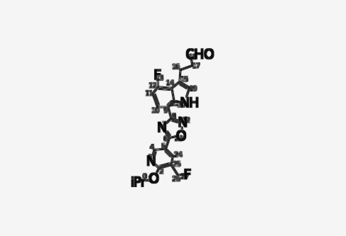 CC(C)Oc1ncc(-c2nc(-c3ccc(F)c4c(CCC=O)c[nH]c34)no2)cc1CF